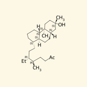 CC[C@H](CC[C@@H]1CCC[C@H]2[C@H]1CC[C@H]1C[C@@](C)(O)CC[C@@]12C)[C@H](C)CCC(C)=O